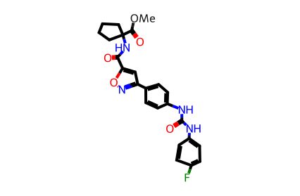 COC(=O)C1(NC(=O)c2cc(-c3ccc(NC(=O)Nc4ccc(F)cc4)cc3)no2)CCCC1